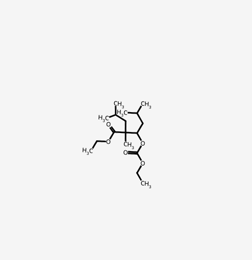 CCOC(=O)OC(CC(C)C)C(C)(CC(C)C)C(=O)OCC